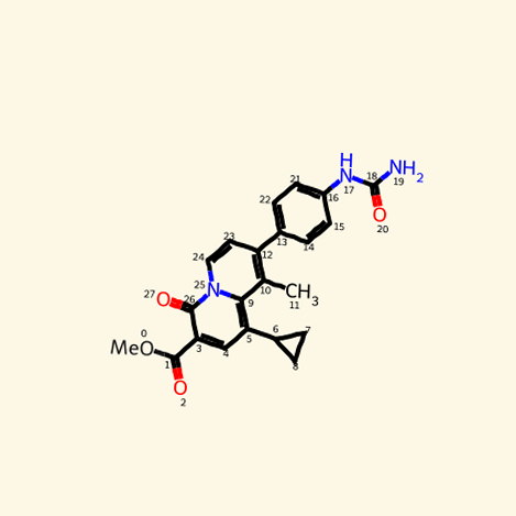 COC(=O)c1cc(C2CC2)c2c(C)c(-c3ccc(NC(N)=O)cc3)ccn2c1=O